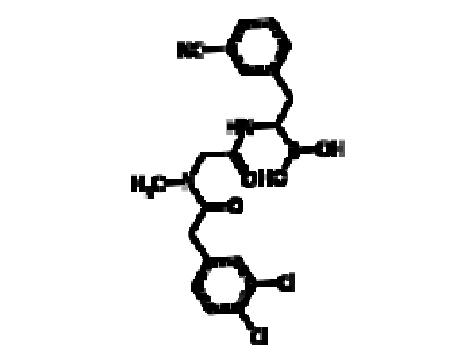 CN(CC(=O)NC(Cc1cccc(C#N)c1)B(O)O)C(=O)Cc1ccc(Cl)c(Cl)c1